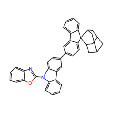 c1ccc2c(c1)-c1cc(-c3ccc4c(c3)c3ccccc3n4-c3nc4ccccc4o3)ccc1C21C2CC3CC(C2)CC1C3